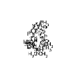 CC(C)NCCOc1ncc(-c2cc3c4c(cnc3cc2F)N(C)C(=O)C42CC3(CCN(C(=O)OC(C)(C)C)CC3)C2)cc1NS(C)(=O)=O